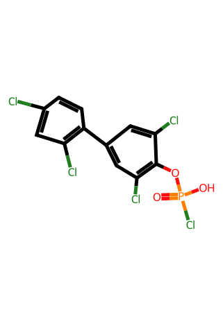 O=P(O)(Cl)Oc1c(Cl)cc(-c2ccc(Cl)cc2Cl)cc1Cl